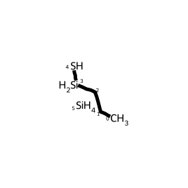 CCC[SiH2]S.[SiH4]